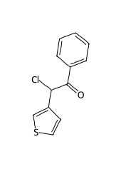 O=C(c1ccccc1)C(Cl)c1ccsc1